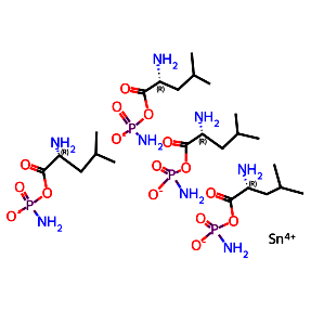 CC(C)C[C@@H](N)C(=O)OP(N)(=O)[O-].CC(C)C[C@@H](N)C(=O)OP(N)(=O)[O-].CC(C)C[C@@H](N)C(=O)OP(N)(=O)[O-].CC(C)C[C@@H](N)C(=O)OP(N)(=O)[O-].[Sn+4]